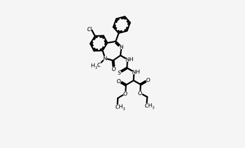 CCOC(=O)C(NC(=S)NC1N=C(c2ccccc2)c2cc(Cl)ccc2N(C)C1=O)C(=O)OCC